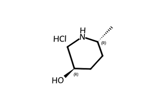 C[C@@H]1CC[C@@H](O)CN1.Cl